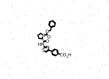 O=C(O)c1ccc(-c2csc(NC(=O)[C@@H]3CCCN3C(=O)OCc3ccccc3)n2)cc1